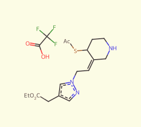 CCOC(=O)Cc1cnn(CC=C2CNCCC2SC(C)=O)c1.O=C(O)C(F)(F)F